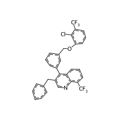 FC(F)(F)c1cccc(OCc2cccc(-c3c(Cc4ccccc4)cnc4c(C(F)(F)F)cccc34)c2)c1Cl